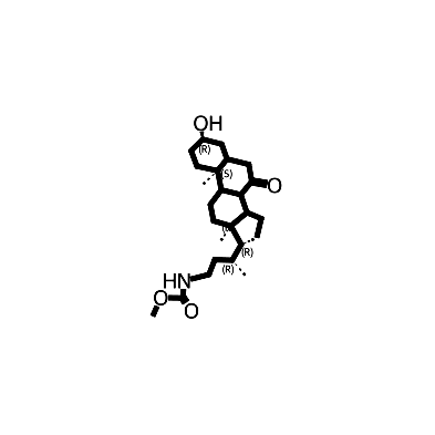 COC(=O)NCC[C@@H](C)[C@H]1CCC2C3C(=O)CC4C[C@H](O)CC[C@]4(C)C3CC[C@@]21C